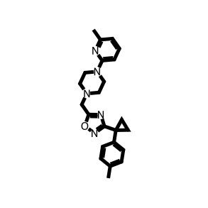 Cc1ccc(C2(c3noc(CN4CCN(c5cccc(C)n5)CC4)n3)CC2)cc1